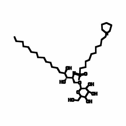 CCCCCCCCCCCCCC[C@@H](O)[C@@H](O)[C@H](COC1OC(CO)C(O)C(O)C1O)N=S(C)(=O)CCCCCCCCCCN1CCCCC1